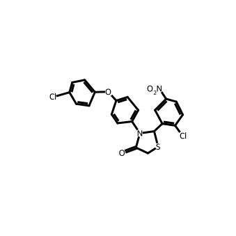 O=C1CSC(c2cc([N+](=O)[O-])ccc2Cl)N1c1ccc(Oc2ccc(Cl)cc2)cc1